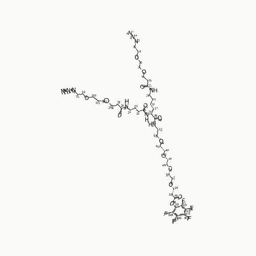 [N-]=[N+]=NCCOCCOCCC(=O)NCCCC[C@H](NC(=O)CCCNC(=O)CCOCCOCCN=[N+]=[N-])C(=O)NCCOCCOCCOCCOCCC(=O)Oc1c(F)c(F)c(F)c(F)c1F